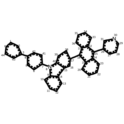 c1ccc(-c2ccc(-n3c4ccccc4c4cc(-c5c6ccccc6c(-c6cccnc6)c6ccccc56)ccc43)cc2)cc1